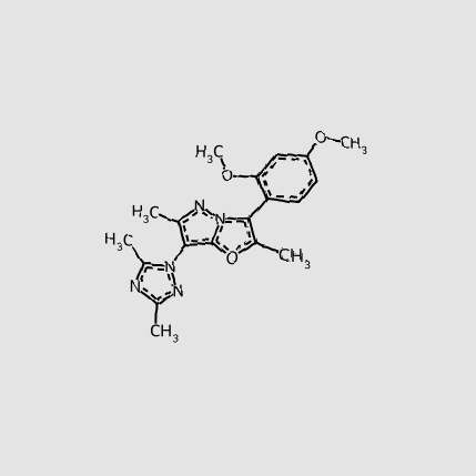 COc1ccc(-c2c(C)oc3c(-n4nc(C)nc4C)c(C)nn23)c(OC)c1